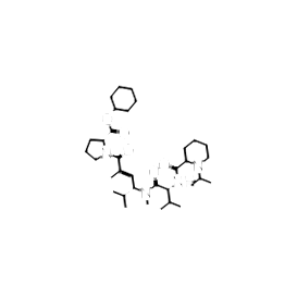 C/C(=C\[C@H](C(C)C)N(C)C(=O)[C@@H](NC(=O)C1CCCCN1C(C)C)C(C)C)C(=O)N1CCC[C@H]1C(=O)OC1CCCCC1